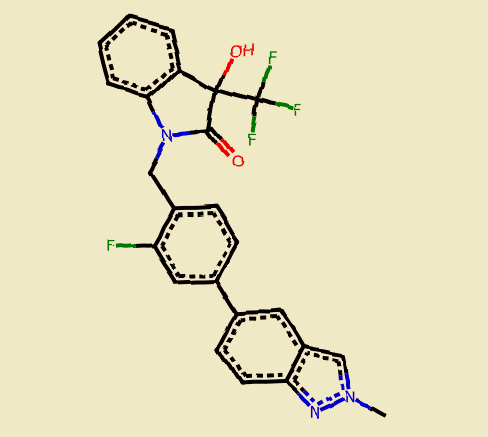 Cn1cc2cc(-c3ccc(CN4C(=O)C(O)(C(F)(F)F)c5ccccc54)c(F)c3)ccc2n1